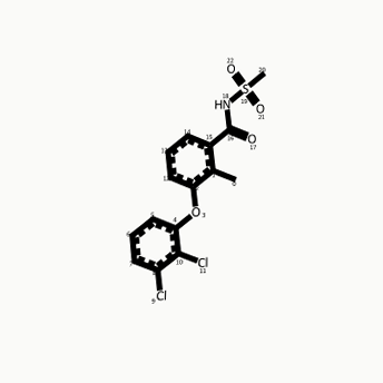 Cc1c(Oc2cccc(Cl)c2Cl)cccc1C(=O)NS(C)(=O)=O